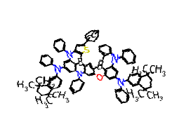 CC1(C)CCC(C)(C)c2cc(N(c3ccccc3)c3cc4c5c(c3)N(c3ccccc3)c3ccccc3B5c3cc5c(cc3O4)N(c3ccccc3)c3cc(N(c4ccccc4)c4ccc6c(c4)C(C)(C)CCC6(C)C)cc4c3B5c3sc(C56CCC(CC5)CC6)cc3N4c3ccccc3)ccc21